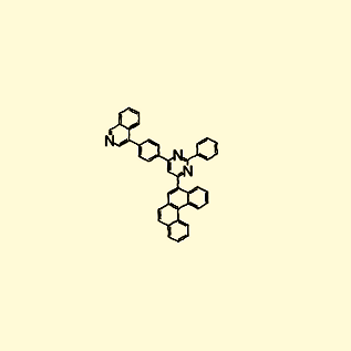 c1ccc(-c2nc(-c3ccc(-c4cncc5ccccc45)cc3)cc(-c3cc4ccc5ccccc5c4c4ccccc34)n2)cc1